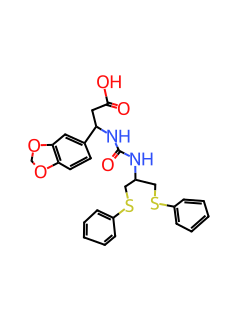 O=C(O)CC(NC(=O)NC(CSc1ccccc1)CSc1ccccc1)c1ccc2c(c1)OCO2